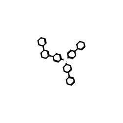 C1=CCCC(C2=CCC(N(C3=CCC(C4=CC(C5C=CCCC5)CCC4)C=C3)C3=CCC(C4C=CCCC4)C=C3)CC2)=C1